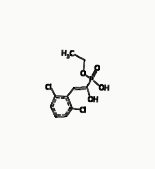 CCOP(=O)(O)C(O)=Cc1c(Cl)cccc1Cl